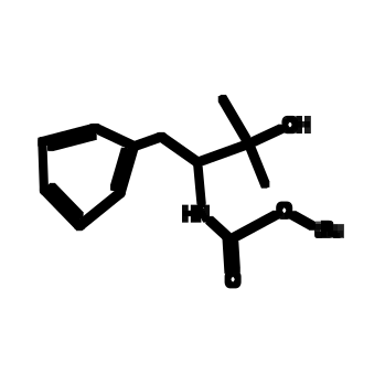 CC(C)(C)OC(=O)NC(Cc1ccccc1)C(C)(C)O